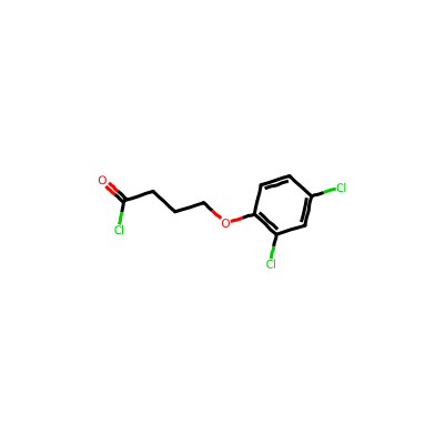 O=C(Cl)CCCOc1ccc(Cl)cc1Cl